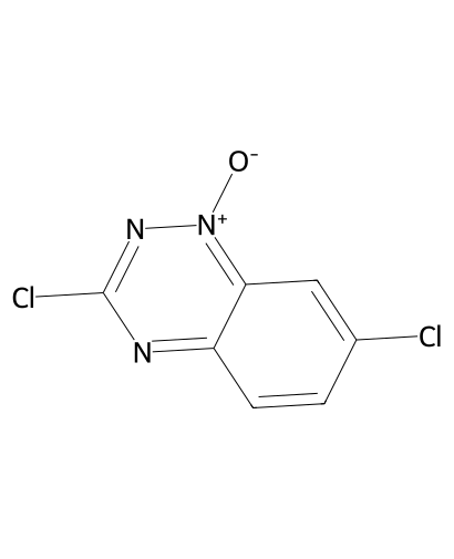 [O-][n+]1nc(Cl)nc2ccc(Cl)cc21